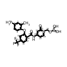 Cc1cc(P)ccc1Oc1cc(C(F)(F)F)ccc1C(=O)Nc1ccn(COP(O)O)c(=O)c1